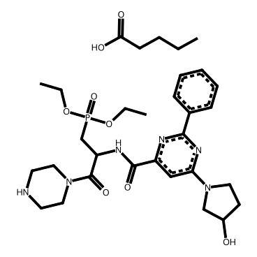 CCCCC(=O)O.CCOP(=O)(CC(NC(=O)c1cc(N2CCC(O)C2)nc(-c2ccccc2)n1)C(=O)N1CCNCC1)OCC